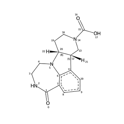 O=C1NCCN2c3c1cccc3[C@H]1CN(C(=O)O)CC[C@H]12